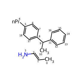 CC=CN.CCCc1ccc(C(C)c2ccccc2)cc1